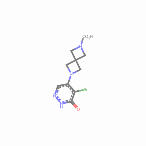 O=C(O)N1CC2(C1)CN(c1cn[nH]c(=O)c1Br)C2